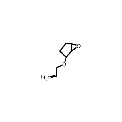 C=CCOC1CCC2OC12